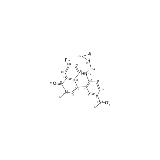 Cn1cc(-c2cc([S+](C)[O-])ccc2NCC2CC2)c2ccc(F)cc2c1=O